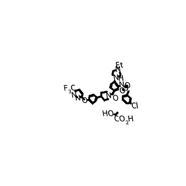 CCN1CCN(c2ccc(C(=O)N3CCC(c4ccc(Oc5ccc(C(F)(F)F)nn5)cc4)CC3)cc2NS(=O)(=O)Cc2cccc(Cl)c2)CC1.C[C@H](O)C(=O)O